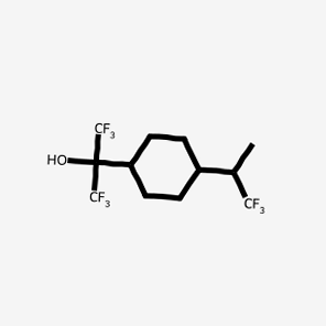 CC(C1CCC(C(O)(C(F)(F)F)C(F)(F)F)CC1)C(F)(F)F